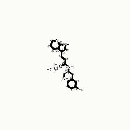 Cl.Cl.NC[C@H](Cc1cccc(F)c1)NC(=O)C=Cc1c[nH]c2ncccc12